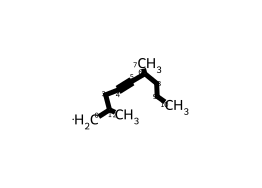 [CH2]C(C)CC#CC(C)CCC